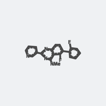 CNc1nc(-c2cccnc2)nc2ccc(-c3ccccc3F)c(F)c12